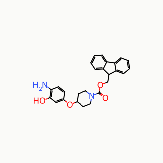 Nc1ccc(OC2CCN(C(=O)OCC3c4ccccc4-c4ccccc43)CC2)cc1O